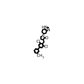 Cc1cccc(-c2cc(Cl)c(CC3CCN(C4CCc5[nH]cnc5C4)C3=O)c(Cl)c2)c1